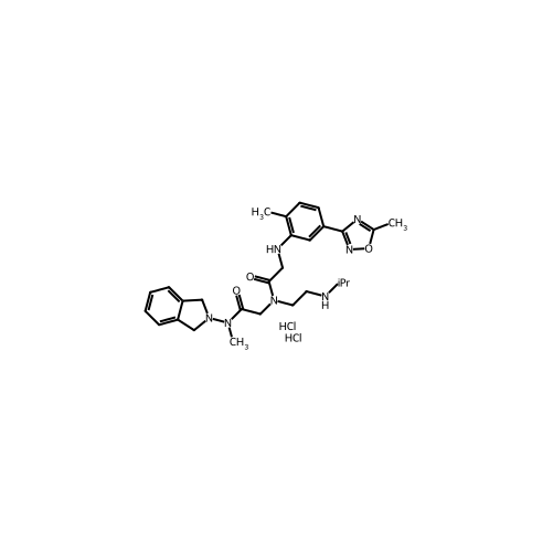 Cc1nc(-c2ccc(C)c(NCC(=O)N(CCNC(C)C)CC(=O)N(C)N3Cc4ccccc4C3)c2)no1.Cl.Cl